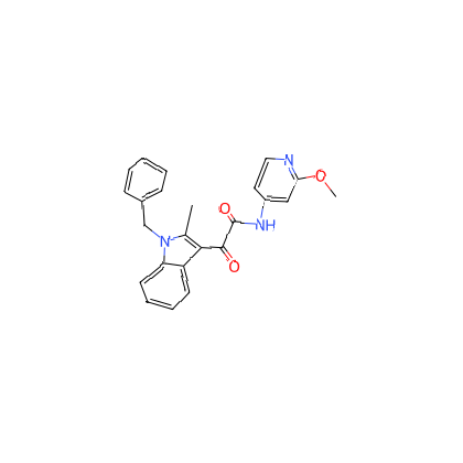 COc1cc(NC(=O)C(=O)c2c(C)n(Cc3ccccc3)c3ccccc23)ccn1